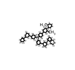 Cc1ccccc1-c1ccc(-c2ccc(N(c3ccc(-c4cccc(-c5ccccc5)c4)cc3)c3cccc(-c4cccc(-c5cccc6c5C=CCC6)c4)c3)cc2)cc1C